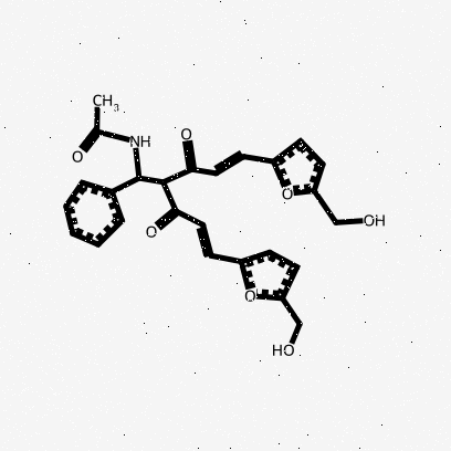 CC(=O)NC(c1ccccc1)C(C(=O)/C=C/c1ccc(CO)o1)C(=O)/C=C/c1ccc(CO)o1